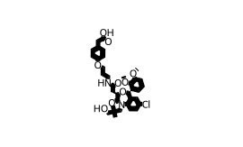 COc1cccc([C@H]2O[C@H](CC(=O)NCCCOc3ccc(CC(=O)O)cc3)C(=O)N(CC(C)(C)CO)c3ccc(Cl)cc32)c1OC